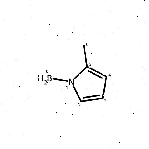 Bn1cccc1C